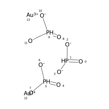 O=[PH]([O-])[O-].O=[PH]([O-])[O-].O=[PH]([O-])[O-].[Au+3].[Au+3]